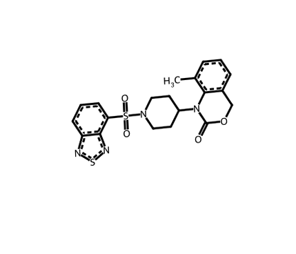 Cc1cccc2c1N(C1CCN(S(=O)(=O)c3cccc4nsnc34)CC1)C(=O)OC2